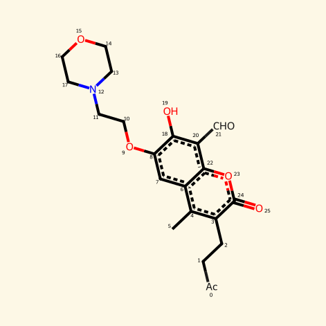 CC(=O)CCc1c(C)c2cc(OCCN3CCOCC3)c(O)c(C=O)c2oc1=O